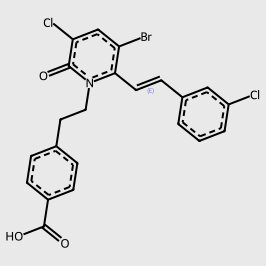 O=C(O)c1ccc(CCn2c(/C=C/c3cccc(Cl)c3)c(Br)cc(Cl)c2=O)cc1